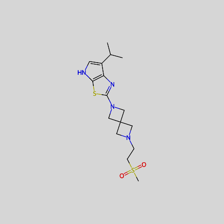 CC(C)c1c[nH]c2sc(N3CC4(CN(CCS(C)(=O)=O)C4)C3)nc12